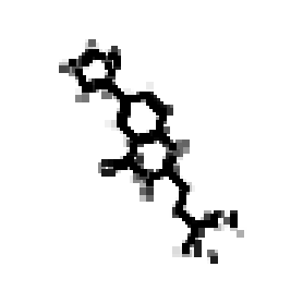 CC(C)CCc1nc2ccc(-c3cnco3)cc2c(=O)[nH]1